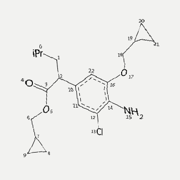 CC(C)CC(C(=O)OCC1CC1)c1cc(Cl)c(N)c(OCC2CC2)c1